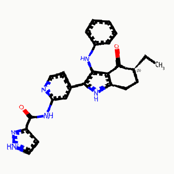 CC[C@H]1CCc2[nH]c(-c3ccnc(NC(=O)c4cc[nH]n4)c3)c(Nc3ccccc3)c2C1=O